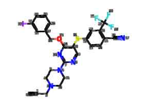 C#CCN1CCN(c2ncc(Sc3ccc(C#N)c(C(F)(F)F)c3)c(OCc3cccc(I)c3)n2)CC1